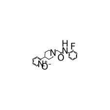 O=C(CN1CCC(c2cccc[n+]2[O-])CC1)Nc1ccccc1F